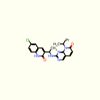 CC(Nc1ncc2ccc(=O)n(C(C)C(C)C)c2n1)c1cc2cc(Cl)ccc2[nH]c1=O